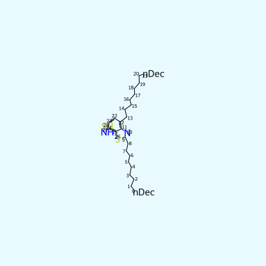 CCCCCCCCCCCCCCCCCCc1nc2c(CCCCCCCCCCCCCCCCCC)cccc2s1.NS